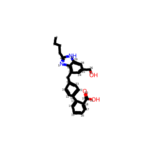 CCCCc1nc2c(Cc3ccc(-c4ccccc4C(=O)O)cc3)cc(CO)cc2[nH]1